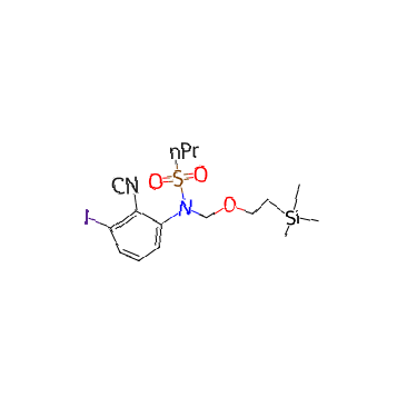 CCCS(=O)(=O)N(COCC[Si](C)(C)C)c1cccc(I)c1C#N